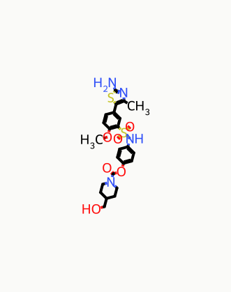 COc1ccc(-c2sc(N)nc2C)cc1S(=O)(=O)Nc1ccc(OC(=O)N2CCC(CO)CC2)cc1